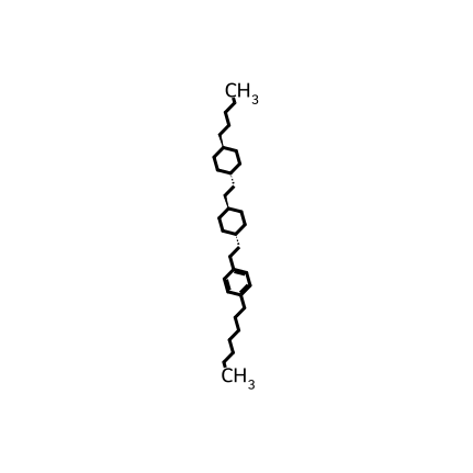 CCCCCCCc1ccc(CC[C@H]2CC[C@H](CC[C@H]3CC[C@H](CCCCC)CC3)CC2)cc1